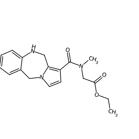 CCOC(=O)CN(C)C(=O)c1ccn2c1CNc1ccccc1C2